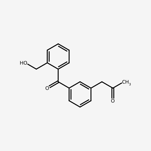 CC(=O)Cc1cccc(C(=O)c2ccccc2CO)c1